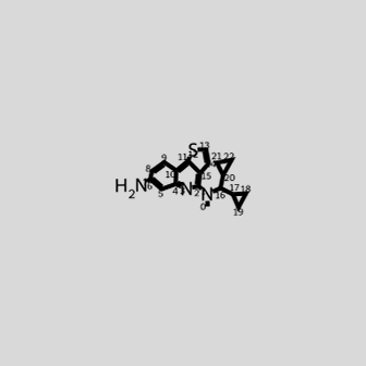 CN(c1nc2cc(N)ccc2c2sccc12)C(C1CC1)C1CC1